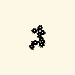 c1ccc(N(c2ccccc2)c2cc3sc4c(cc5ccc6cccc7c6c5c4n7-c4ccc5sc6ccccc6c5c4)c3c3ccccc23)cc1